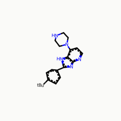 CC(C)(C)c1ccc(-c2nc3nccc(N4CCNCC4)c3[nH]2)cc1